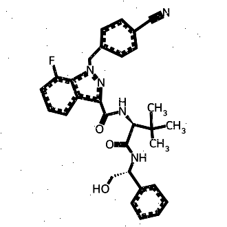 CC(C)(C)[C@H](NC(=O)c1nn(Cc2ccc(C#N)cc2)c2c(F)cccc12)C(=O)N[C@@H](CO)c1ccccc1